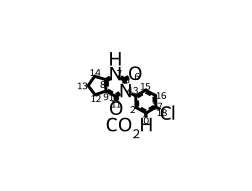 O=C(O)c1cc(-n2c(=O)[nH]c3c(c2=O)CCC3)ccc1Cl